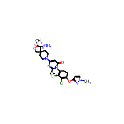 Cc1nc(N2CCC3(CC2)CO[C@@H](C)[C@H]3N)cc(=O)n1C1=C(Cl)C(Cl)=C(Oc2ccn(C)n2)CC1